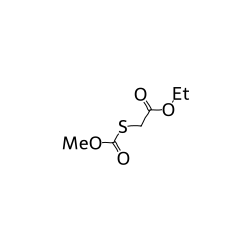 CCOC(=O)CSC(=O)OC